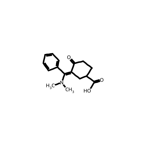 CN(C)C(=C1CC(C(=O)O)CCC1=O)c1ccccc1